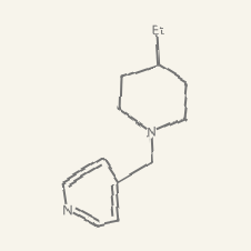 CCC1CCN(Cc2ccncc2)CC1